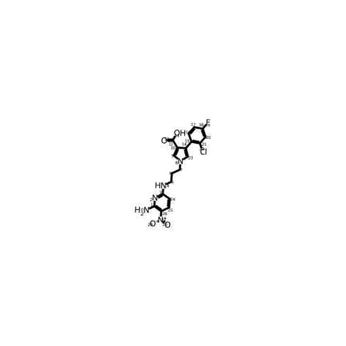 Nc1nc(NCCCn2cc(C(=O)O)c(-c3ccc(F)cc3Cl)c2)ccc1[N+](=O)[O-]